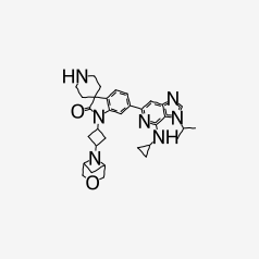 CC(C)n1cnc2cc(-c3ccc4c(c3)N(C3CC(N5C6COCC5C6)C3)C(=O)C43CCNCC3)nc(NC3CC3)c21